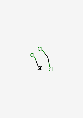 ClCCl.[Si]Cl